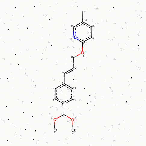 CCOC(OCC)c1ccc(/C=C/COc2ccc(C)cn2)cc1